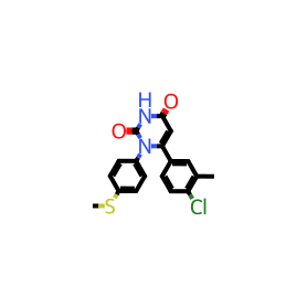 CSc1ccc(-n2c(-c3ccc(Cl)c(C)c3)cc(=O)[nH]c2=O)cc1